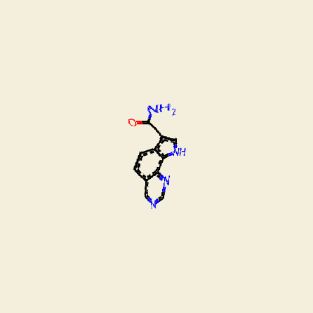 NC(=O)c1c[nH]c2c1ccc1cncnc12